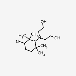 CC1(C)CCC(Cl)C(C)(C)N1N(CCO)CCO